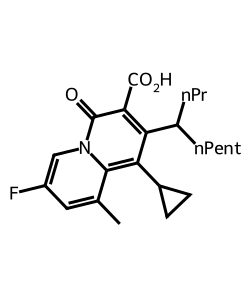 CCCCCC(CCC)c1c(C(=O)O)c(=O)n2cc(F)cc(C)c2c1C1CC1